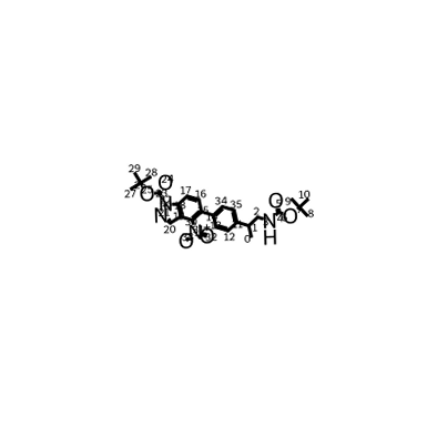 CC(CNC(=O)OC(C)(C)C)c1ccc(-c2ccc3c(cnn3C(=O)OC(C)(C)C)c2[N+](=O)[O-])cc1